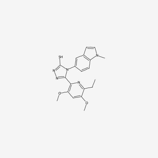 CCc1nc(-c2nnc(S)n2-c2ccc3c(ccn3C)c2)c(OC)cc1OC